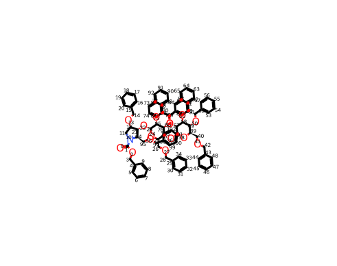 O=C(OCc1ccccc1)N1C[C@@H](OCc2ccccc2)[C@H](O[C@H]2O[C@H](COCc3ccccc3)[C@@H](O[C@@H]3O[C@H](COCc4ccccc4)[C@@H](OCc4ccccc4)[C@H](OCc4ccccc4)[C@H]3OCc3ccccc3)[C@H](OCc3ccccc3)[C@H]2OCc2ccccc2)[C@H]1COCc1ccccc1